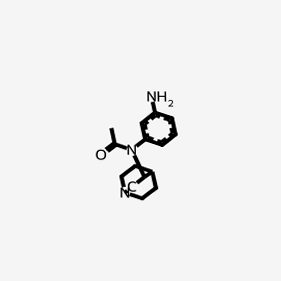 CC(=O)N(c1cccc(N)c1)C1CN2CCC1CC2